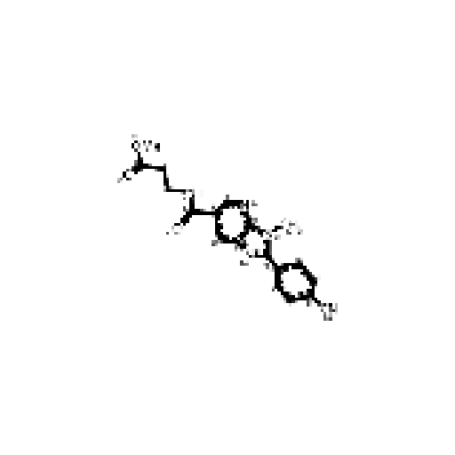 COC(=O)CCNC(=O)c1cnc2c(c1)nc(-c1ccc(C#N)cc1)n2C